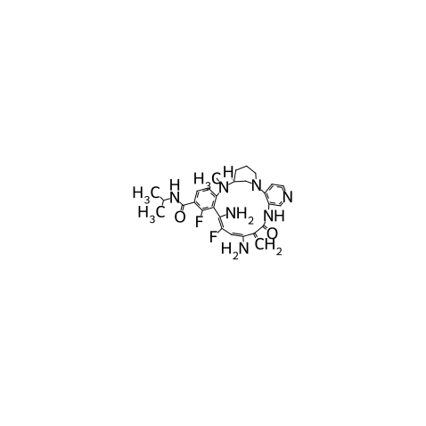 C=C1C(=O)Nc2cnccc2N2CCC[C@@H](C2)N(C)c2ccc(C(=O)NC(C)C)c(F)c2/C(N)=C(F)/C=C\1N